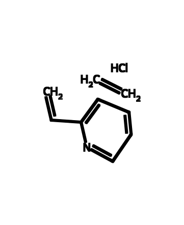 C=C.C=Cc1ccccn1.Cl